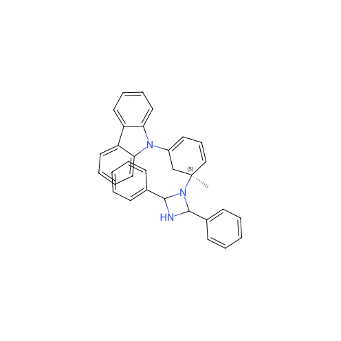 C[C@@]1(N2C(c3ccccc3)NC2c2ccccc2)C=CC=C(n2c3ccccc3c3ccccc32)C1